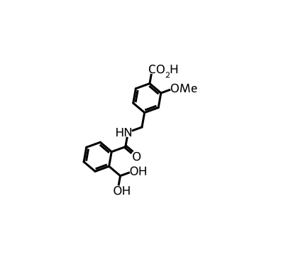 COc1cc(CNC(=O)c2ccccc2C(O)O)ccc1C(=O)O